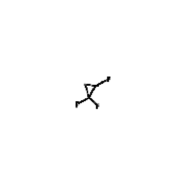 F[C]1CC1(F)F